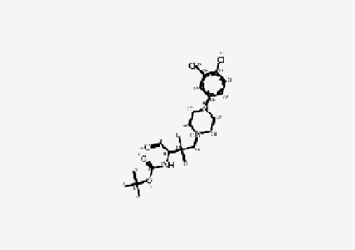 CC(C)(C)OC(=O)NC(C=O)C(C)(C)CN1CCN(c2ccc(Cl)c(Cl)c2)CC1